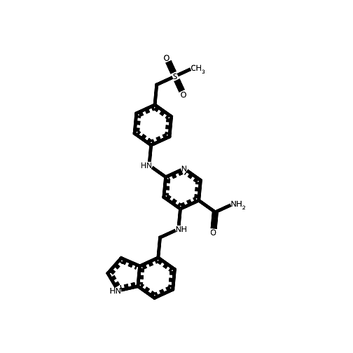 CS(=O)(=O)Cc1ccc(Nc2cc(NCc3cccc4[nH]ccc34)c(C(N)=O)cn2)cc1